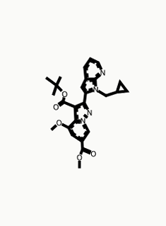 COC(=O)c1cc(OC)c2c(C(=O)OC(C)(C)C)c(-c3cc4cccnc4n3CC3CC3)nn2c1